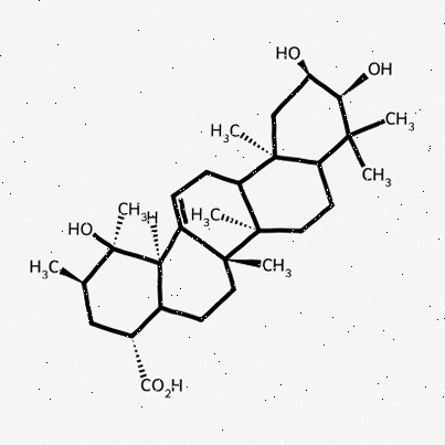 C[C@@H]1C[C@@H](C(=O)O)C2CC[C@]3(C)C(=CCC4[C@@]5(C)C[C@@H](O)[C@@H](O)C(C)(C)C5CC[C@]43C)[C@@H]2[C@]1(C)O